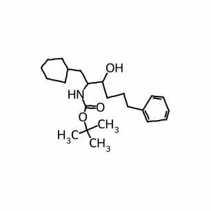 CC(C)(C)OC(=O)NC(CC1CCCCC1)C(O)CCCc1ccccc1